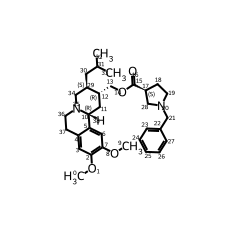 COc1cc2c(cc1OC)[C@H]1C[C@@H](COC(=O)[C@H]3CCN(Cc4ccccc4)C3)[C@H](CC(C)C)CN1CC2